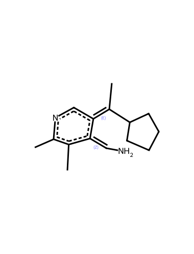 C/C(=c1\cnc(C)c(C)\c1=C\N)C1CCCC1